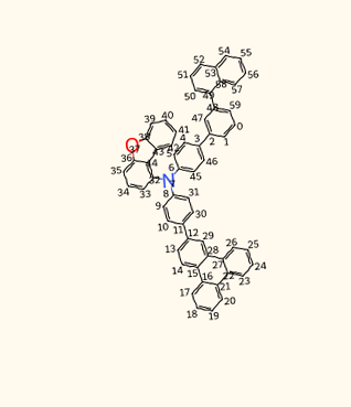 c1cc(-c2ccc(N(c3ccc(-c4ccc5c6ccccc6c6ccccc6c5c4)cc3)c3cccc4oc5ccccc5c34)cc2)cc(-c2cccc3ccccc23)c1